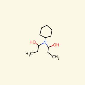 CCC(O)N(C(O)CC)C1CCCCC1